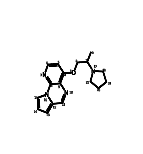 CC(COc1ccnc2c1ncc1cccn12)N1CCCC1